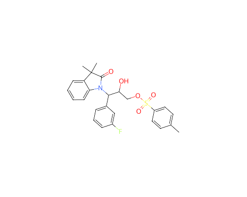 Cc1ccc(S(=O)(=O)OCC(O)C(c2cccc(F)c2)N2C(=O)C(C)(C)c3ccccc32)cc1